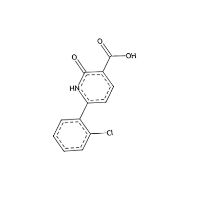 O=C(O)c1ccc(-c2ccccc2Cl)[nH]c1=O